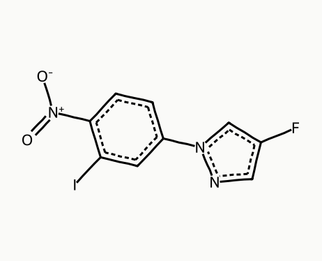 O=[N+]([O-])c1ccc(-n2cc(F)cn2)cc1I